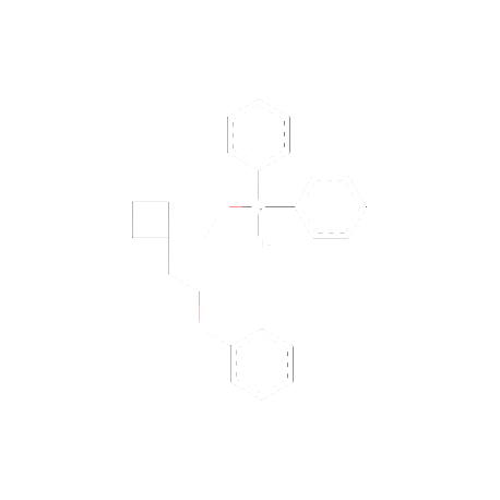 CC(C)(C)[Si](OCC1(CCOc2ccccc2)CCC1)(c1ccccc1)c1ccccc1